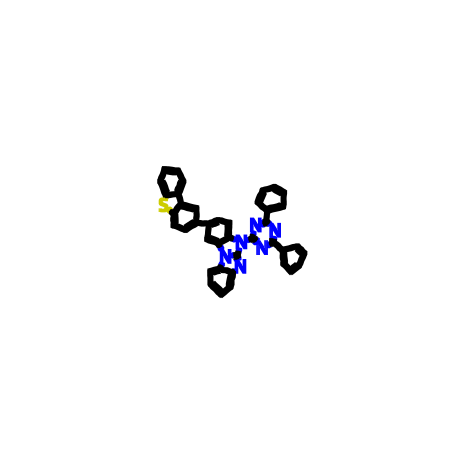 c1ccc(-c2nc(-c3ccccc3)nc(-n3c4ccc(-c5ccc6sc7ccccc7c6c5)cc4n4c5ccccc5nc34)n2)cc1